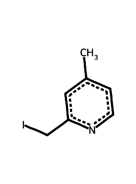 Cc1ccnc(CI)c1